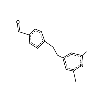 Cc1cc(CCc2ccc(C=O)cc2)cc(C)n1